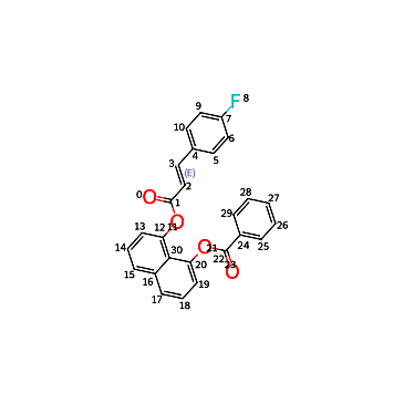 O=C(/C=C/c1ccc(F)cc1)Oc1cccc2cccc(OC(=O)c3ccccc3)c12